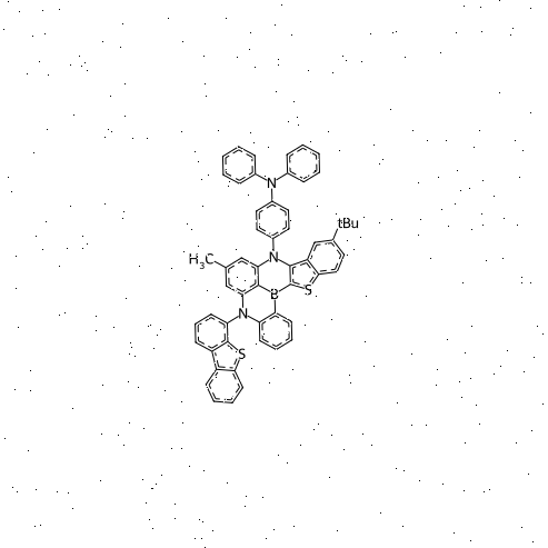 Cc1cc2c3c(c1)N(c1cccc4c1sc1ccccc14)c1ccccc1B3c1sc3ccc(C(C)(C)C)cc3c1N2c1ccc(N(c2ccccc2)c2ccccc2)cc1